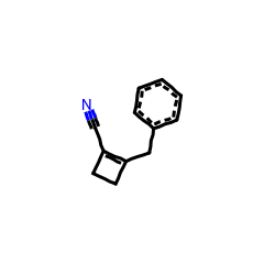 N#CC1=C(Cc2ccccc2)CC1